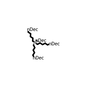 CCCCCCCCCCCCCCC[N+](CCCCCCCCCC)(CCCCCCCCCCCCCCC)CCCCCCCCCCCCCCC